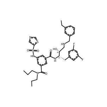 CCCN(CCC)C(=O)c1cc(NS(=O)(=O)c2cncs2)cc(C(=O)N[C@@H](Cc2cc(F)cc(F)c2)[C@H](O)CNCc2cccc(CC)c2)c1